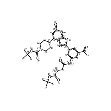 C=C(C)c1cc(NC(=O)CNC(=O)OC(C)(C)C)cc(-c2nn3c(N4CCN(C(=O)OC(C)(C)C)CC4)cc(=O)nc3s2)c1